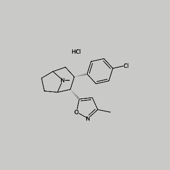 Cc1cc([C@@H]2C3CCC(C[C@@H]2c2ccc(Cl)cc2)N3C)on1.Cl